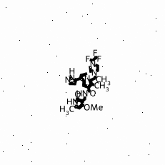 COc1cc(C)[nH]c(=O)c1CNC(=O)c1cc2c(-c3ccn[nH]3)ccn2c(C(C)N2CCN(C(F)C(F)F)CC2)c1C